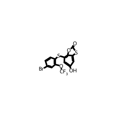 O=c1oc2c(Sc3ccc(Br)cc3OC(F)(F)F)cc(O)cc2s1